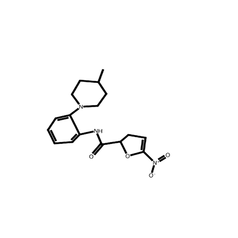 CC1CCN(c2ccccc2NC(=O)C2CC=C([N+](=O)[O-])O2)CC1